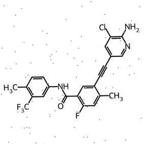 Cc1cc(F)c(C(=O)Nc2ccc(C)c(C(F)(F)F)c2)cc1C#Cc1cnc(N)c(Cl)c1